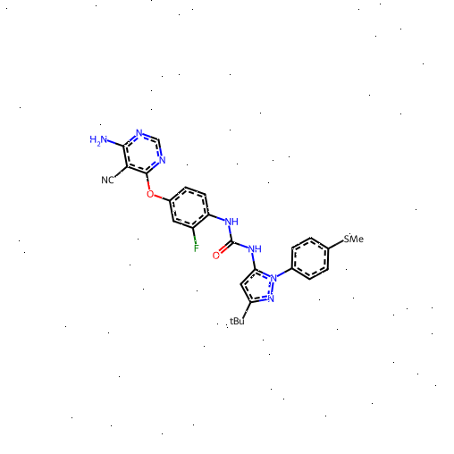 CSc1ccc(-n2nc(C(C)(C)C)cc2NC(=O)Nc2ccc(Oc3ncnc(N)c3C#N)cc2F)cc1